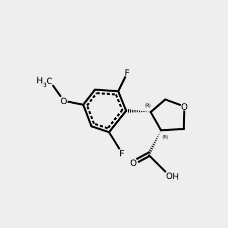 COc1cc(F)c([C@@H]2COC[C@@H]2C(=O)O)c(F)c1